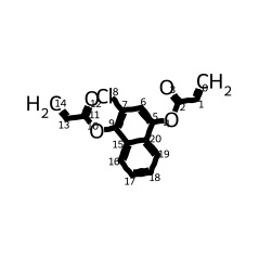 C=CC(=O)Oc1cc(Cl)c(OC(=O)C=C)c2ccccc12